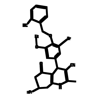 CCCC1CC(=O)C2=C(C1)NC(C)=C(C#N)C2c1cc(Br)c(OCc2ccccc2C#N)c(OCC)c1